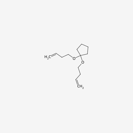 C=CCCOC1(OCCC=C)CCCC1